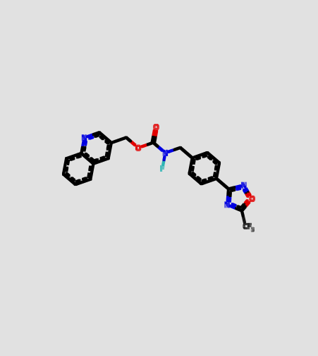 O=C(OCc1cnc2ccccc2c1)N(F)Cc1ccc(-c2noc(C(F)(F)F)n2)cc1